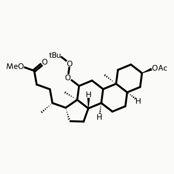 COC(=O)CC[C@@H](C)[C@H]1CC[C@H]2[C@@H]3CC[C@@H]4C[C@H](OC(C)=O)CC[C@]4(C)C3CC(OOC(C)(C)C)[C@]12C